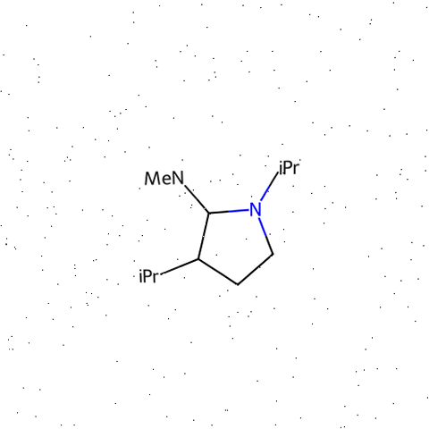 CNC1C(C(C)C)CCN1C(C)C